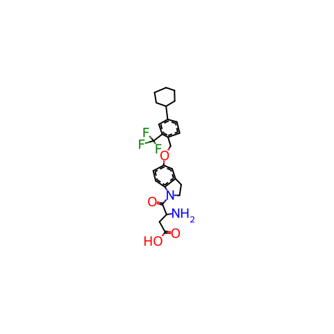 NC(CC(=O)O)C(=O)N1CCc2cc(OCc3ccc(C4CCCCC4)cc3C(F)(F)F)ccc21